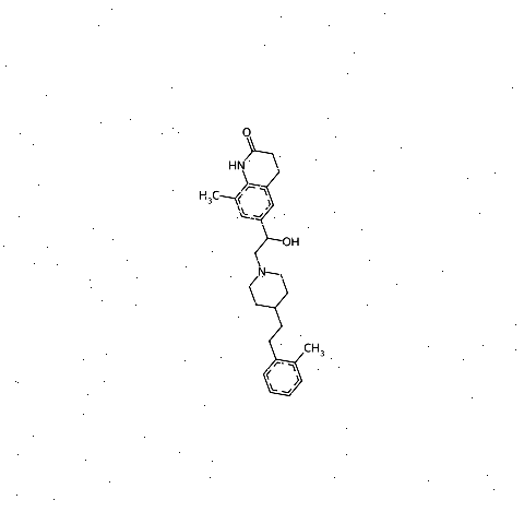 Cc1ccccc1CCC1CCN(CC(O)c2cc(C)c3c(c2)CCC(=O)N3)CC1